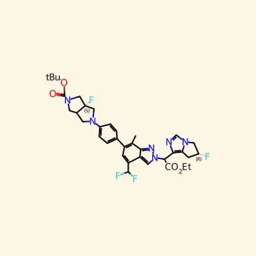 CCOC(=O)C(c1ncn2c1C[C@@H](F)C2)n1cc2c(C(F)F)cc(-c3ccc(N4CC5CN(C(=O)OC(C)(C)C)C[C@@]5(F)C4)cc3)c(C)c2n1